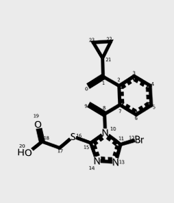 C=C(c1ccccc1C(=C)n1c(Br)nnc1SCC(=O)O)C1CC1